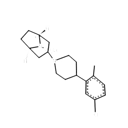 CCOC(=O)N1[C@@H]2CC[C@@H]1CC(N1CCC(c3cc(Cl)ccc3C)CC1)C2